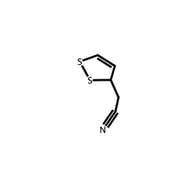 N#CCC1C=CSS1